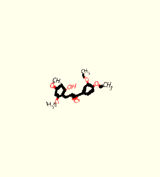 CCOc1ccc(C(=O)CCc2c(O)cc(OC)cc2OC)cc1OCC